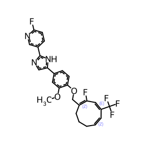 COc1cc(-c2cnc(-c3ccc(F)nc3)[nH]2)ccc1OC/C1=C(F)/C=C(C(F)(F)F)\C=C/CCC1